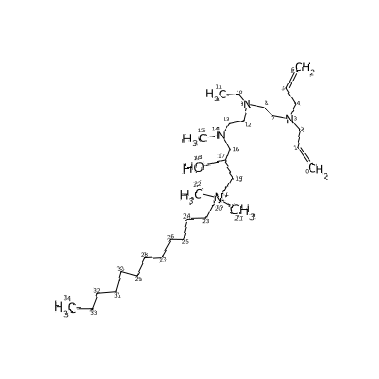 C=CCN(CC=C)CCN(CC)CCN(C)CC(O)C[N+](C)(C)CCCCCCCCCCCC